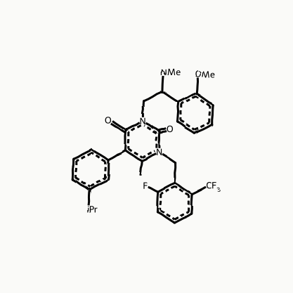 CNC(Cn1c(=O)c(-c2cccc(C(C)C)c2)c(C)n(Cc2c(F)cccc2C(F)(F)F)c1=O)c1ccccc1OC